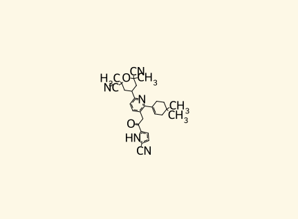 CC1(C)CC=C(c2nc(C3CC(C)(C#N)OC(C)(C#N)C3)ccc2CC(=O)c2ccc(C#N)[nH]2)CC1